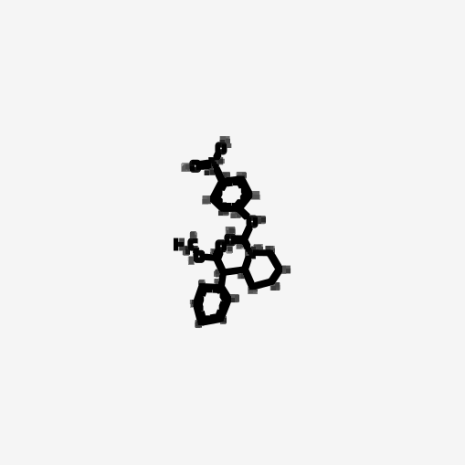 COC(=O)C(c1ccccc1)C1CCCCN1C(=O)Oc1ccc([N+](=O)[O-])cc1